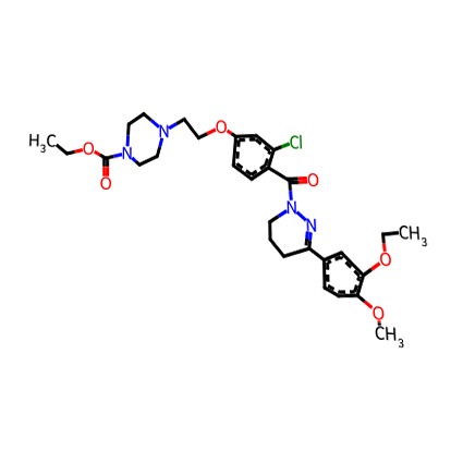 CCOC(=O)N1CCN(CCOc2ccc(C(=O)N3CCCC(c4ccc(OC)c(OCC)c4)=N3)c(Cl)c2)CC1